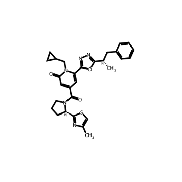 Cc1csc([C@H]2CCCN2C(=O)c2cc(-c3nnc([C@@H](C)Cc4ccccc4)o3)n(CC3CC3)c(=O)c2)n1